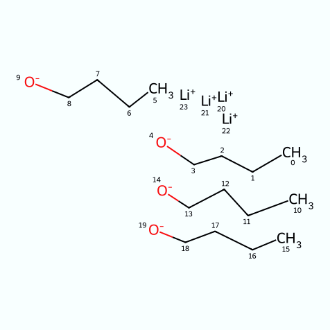 CCCC[O-].CCCC[O-].CCCC[O-].CCCC[O-].[Li+].[Li+].[Li+].[Li+]